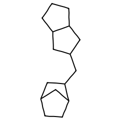 C1CC2CC(CC3CC4CCC3C4)CC2C1